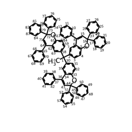 CC(c1ccc2c(c1)C(c1ccccc1)=CC(c1ccccc1)(c1ccccc1)O2)(c1ccc2c(c1)C(c1ccccc1)=CC(c1ccccc1)(c1ccccc1)O2)c1ccc2c(c1)C(c1ccccc1)=CC(c1ccccc1)(c1ccccc1)O2